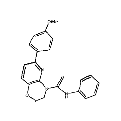 COc1ccc(-c2ccc3c(n2)N(C(=O)Nc2ccccc2)CCO3)cc1